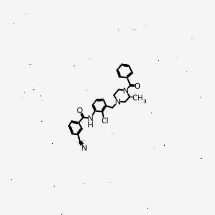 C[C@H]1CN(Cc2cccc(NC(=O)c3cccc(C#N)c3)c2Cl)CCN1C(=O)c1ccccc1